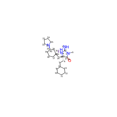 CN1C(=N)N[C@](CCC2CCCCC2)(C[C@@]2(I)CCC[C@@H](N3CCCC3)C2)C1=O